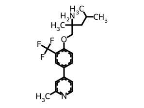 Cc1cc(-c2ccc(OCC(C)(N)CC(C)C)c(C(F)(F)F)c2)ccn1